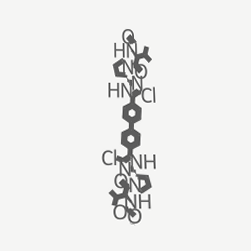 COC(=O)N[C@H](C(=O)N1CCC[C@H]1c1nc(Cl)c(-c2ccc(-c3ccc(-c4[nH]c([C@@H]5CCCN5C(=O)[C@@H](NC=O)C(C)C)nc4Cl)cc3)cc2)[nH]1)C(C)C